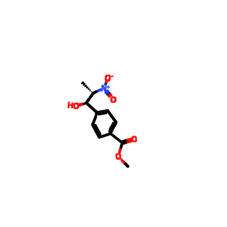 COC(=O)c1ccc([C@@H](O)[C@H](C)[N+](=O)[O-])cc1